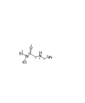 CCN(CC)C(=O)CNCC(C)C